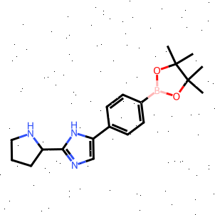 CC1(C)OB(c2ccc(-c3cnc(C4CCCN4)[nH]3)cc2)OC1(C)C